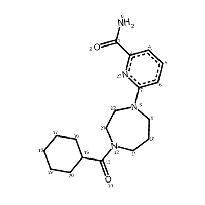 NC(=O)c1[c]ccc(N2CCCN(C(=O)C3CCCCC3)CC2)n1